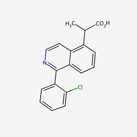 CC(C(=O)O)c1cccc2c(-c3ccccc3Cl)nccc12